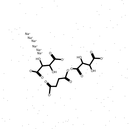 O=C([O-])C(O)C(O)C(=O)[O-].O=C([O-])C(O)C(O)C(=O)[O-].O=C([O-])CCC(=O)[O-].[Na+].[Na+].[Na+].[Na+].[Na+].[Na+]